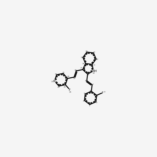 Fc1ccccc1/C=C/c1[nH]c2ccccc2c1/C=C/c1ccncc1F